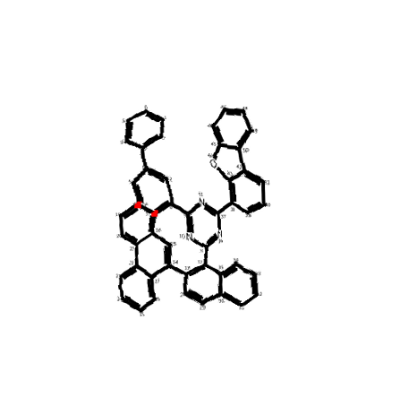 c1ccc(-c2cccc(-c3nc(-c4c(-c5cc6ccccc6c6ccccc56)ccc5ccccc45)nc(-c4cccc5c4oc4ccccc45)n3)c2)cc1